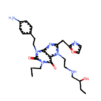 CCCn1c(=O)c2c(nc(Cc3ncco3)n2CCNCC(O)CC)n(CCc2ccc(N)cc2)c1=O